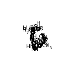 COc1cc2c(cc1N1CCN(Cc3ccc4c(c3)C(C)(C)C(=O)N4C3CCC(=O)NC3=O)CC1)[nH]c1ncnc(-c3ccc([C@@H](C)NC(=O)c4nc(C5(C)CC5)no4)c(C)c3)c12